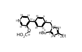 CCCCc1nc(CC)nn1Cc1ccc(-c2ccncc2OC(=O)O)cc1